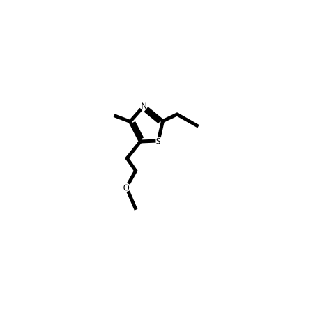 CCc1nc(C)c(CCOC)s1